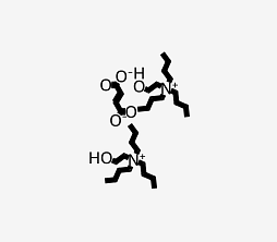 CCCC[N+](CCO)(CCCC)CCCC.CCCC[N+](CCO)(CCCC)CCCC.O=C([O-])/C=C/C(=O)[O-]